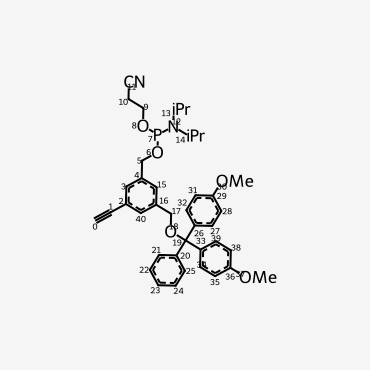 C#Cc1cc(COP(OCCC#N)N(C(C)C)C(C)C)cc(COC(c2ccccc2)(c2ccc(OC)cc2)c2ccc(OC)cc2)c1